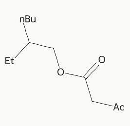 CCCCC(CC)COC(=O)CC(C)=O